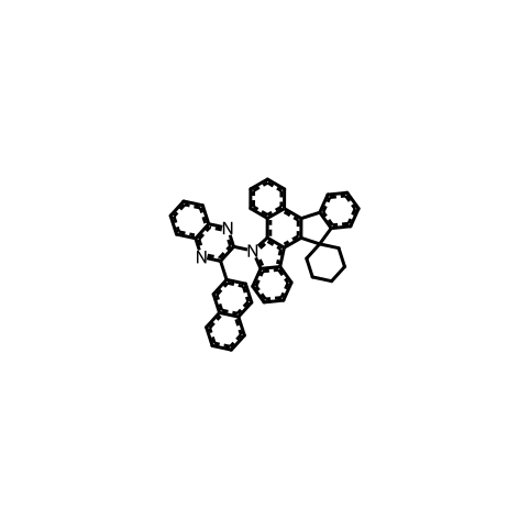 c1ccc2c(c1)-c1c(c3c4ccccc4n(-c4nc5ccccc5nc4-c4ccc5ccccc5c4)c3c3ccccc13)C21CCCCC1